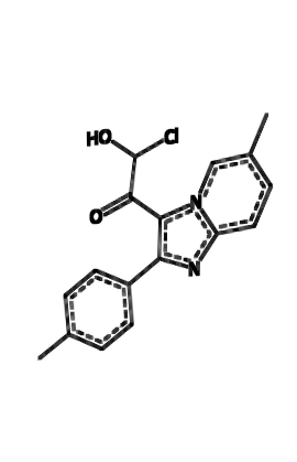 Cc1ccc(-c2nc3ccc(C)cn3c2C(=O)C(O)Cl)cc1